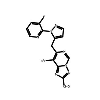 CCCc1c(Cc2ccnn2-c2ncccc2F)ncn2nc(C=O)nc12